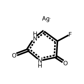 O=c1[nH]cc(F)c(=O)[nH]1.[Ag]